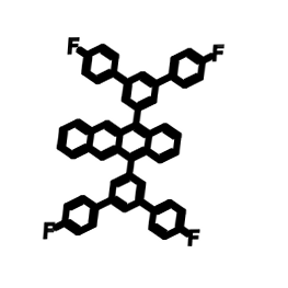 Fc1ccc(-c2cc(-c3ccc(F)cc3)cc(-c3c4ccccc4c(-c4cc(-c5ccc(F)cc5)cc(-c5ccc(F)cc5)c4)c4cc5ccccc5cc34)c2)cc1